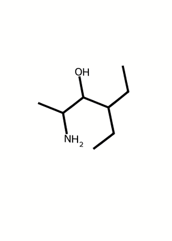 CCC(CC)C(O)C(C)N